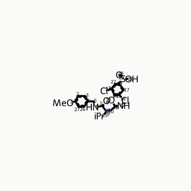 COc1ccc(CNC(=O)/C(=C\C(=N)Oc2c(Cl)cc(S(=O)O)cc2Cl)C(C)C)cc1